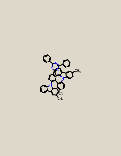 Cc1ccc2c(c1)c1ccccc1n2-c1ccc(C#N)cc1-c1cc(-c2nc(-c3ccccc3)nc(-c3ccccc3)n2)ccc1-n1c2ccccc2c2cc(C)ccc21